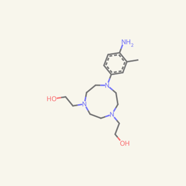 Cc1cc(N2CCN(CCO)CCN(CCO)CC2)ccc1N